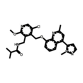 COc1ncc(Cl)c(COc2cccc3c(-c4ccnn4C)cc(C)nc23)c1CNC(=O)C(C)C